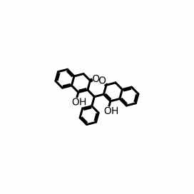 O=C1Cc2ccccc2C(O)=C1C(C1=C(O)c2ccccc2CC1=O)c1ccccc1